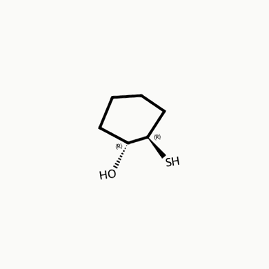 O[C@@H]1CCCC[C@H]1S